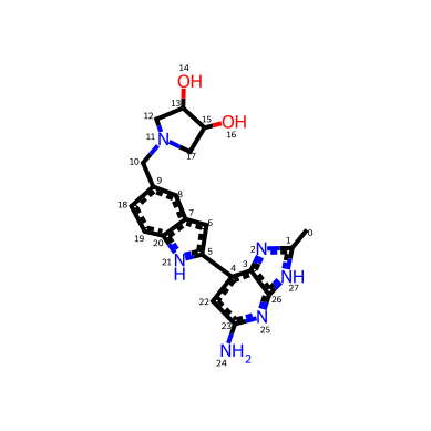 Cc1nc2c(-c3cc4cc(CN5CC(O)C(O)C5)ccc4[nH]3)cc(N)nc2[nH]1